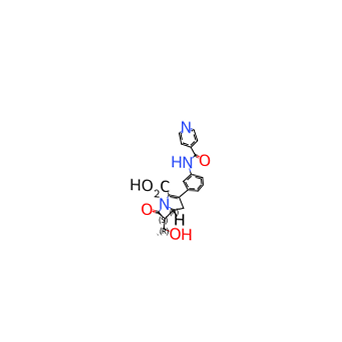 C[C@@H](O)[C@H]1C(=O)N2C(C(=O)O)=C(c3cccc(NC(=O)c4ccncc4)c3)C[C@H]12